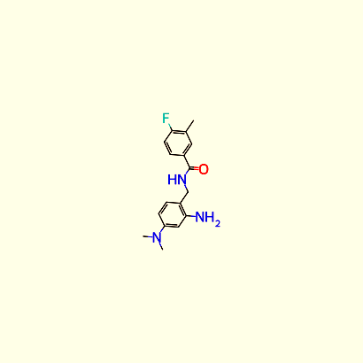 Cc1cc(C(=O)NCc2ccc(N(C)C)cc2N)ccc1F